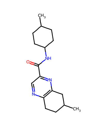 CC1CCC(NC(=O)c2cnc3c(n2)CC(C)CC3)CC1